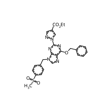 CCOC(=O)c1cnn(-c2nc(OCc3ccccc3)c3ncn(Cc4ccc(S(C)(=O)=O)cc4)c3n2)c1